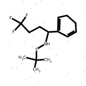 CC(C)(C)SNC(CCC(F)(F)F)C1=CCCC=C1